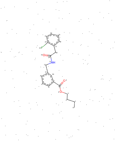 CCCCOC(=O)c1cccc(CNC(=O)Cc2ccccc2F)c1